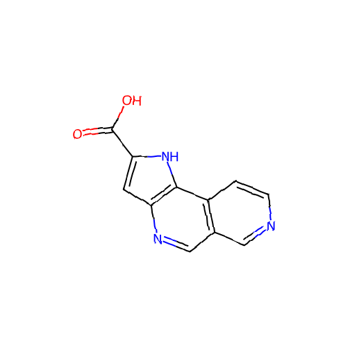 O=C(O)c1cc2ncc3cnccc3c2[nH]1